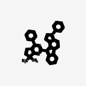 CC1(C)C=Cc2c(-c3ccccc3)nc(-n3c4ccccc4c4ccc5c(ccn5-c5ccccc5)c43)nc21